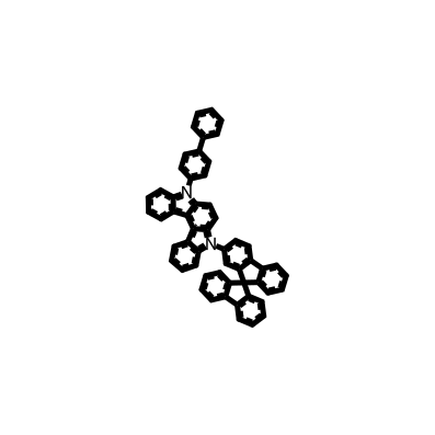 c1ccc(-c2ccc(-n3c4ccccc4c4c5c6ccccc6n(-c6ccc7c(c6)C6(c8ccccc8-c8ccccc86)c6ccccc6-7)c5ccc43)cc2)cc1